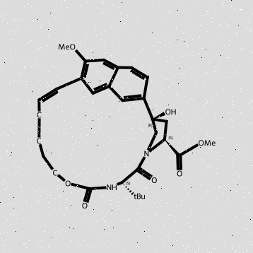 COC(=O)[C@@H]1C[C@]2(O)CN1C(=O)[C@H](C(C)(C)C)NC(=O)OCCCCC=Cc1cc3cc2ccc3cc1OC